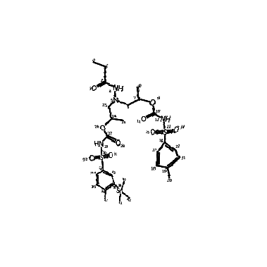 CCC(=O)NN(CC(C)OC(=O)NS(=O)(=O)c1ccc(C)cc1)CC(C)OC(=O)NS(=O)(=O)c1ccc(C)[c]([Sn]([CH3])([CH3])[CH3])c1